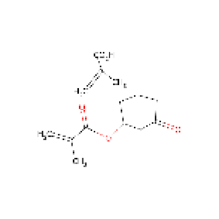 C=C(C)C(=O)O.C=C(C)C(=O)OC1CCCC(=O)C1